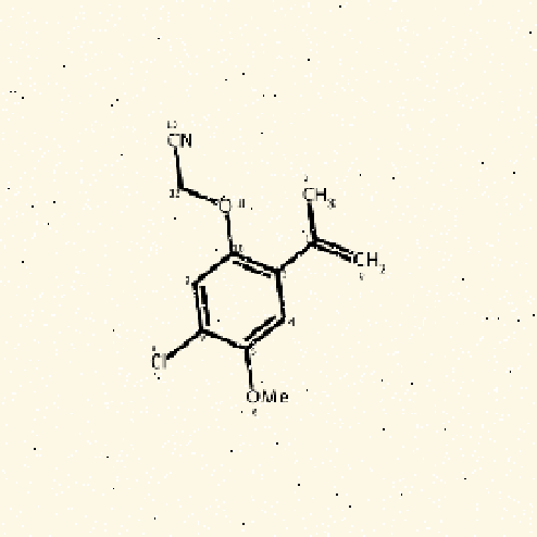 C=C(C)c1cc(OC)c(Cl)cc1OCC#N